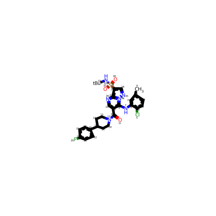 Cc1ccc(Cl)c(Nc2c(C(=O)N3CCC(c4ccc(F)cc4)CC3)cnc3c(S(=O)(=O)NC(C)(C)C)cnn23)c1